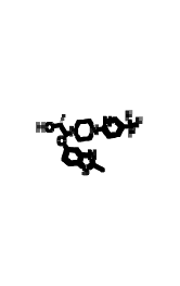 Cc1nc2cc(OC([C@@H](C)O)N3CCN(c4ccc(C(F)(F)F)cn4)CC3)ccc2s1